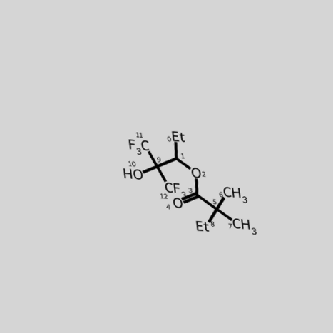 CCC(OC(=O)C(C)(C)CC)C(O)(C(F)(F)F)C(F)(F)F